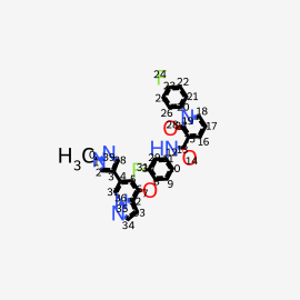 Cn1cc(-c2cc(Oc3ccc(NC(=O)c4cccn(-c5ccc(F)cc5)c4=O)cc3F)c3ccnn3c2)cn1